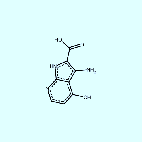 Nc1c(C(=O)O)[nH]c2nccc(O)c12